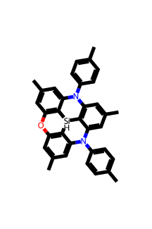 Cc1ccc(N2c3cc(C)cc4c3[SiH]3c5c(cc(C)cc5N(c5ccc(C)cc5)c5cc(C)cc2c53)O4)cc1